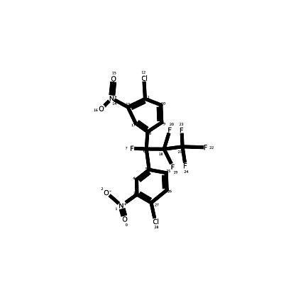 O=[N+]([O-])c1cc(C(F)(c2ccc(Cl)c([N+](=O)[O-])c2)C(F)(F)C(F)(F)F)ccc1Cl